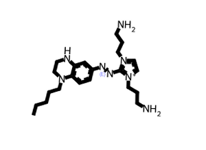 CCCCCN1CCNc2cc(/N=N/c3n(CCCN)cc[n+]3CCCN)ccc21